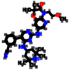 COCCN1C(=O)C(C)(C)Oc2cc(Nc3ncc(-c4cccc(C#N)c4)c(NC4CC(C)(C)NC(C)(C)C4)n3)cnc21